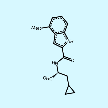 COc1cccc2[nH]c(C(=O)N[C@H](C=O)CC3CC3)cc12